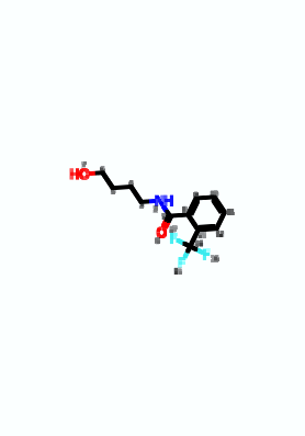 O=C(NCCCCO)c1ccccc1C(F)(F)F